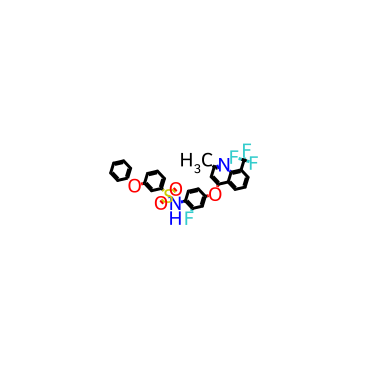 Cc1cc(Oc2ccc(NS(=O)(=O)c3cccc(Oc4ccccc4)c3)c(F)c2)c2cccc(C(F)(F)F)c2n1